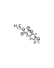 CCOC(=O)c1cc2cc3c(cc2oc1=O)OCC3